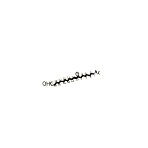 CC(=O)CCCCCCCC(=O)C=CCCCCCCCCCC=O